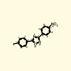 Cc1ccc(-c2nc(-c3ccc([N+](=O)[O-])cc3)no2)cc1